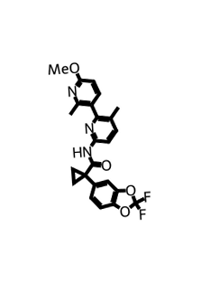 COc1ccc(-c2nc(NC(=O)C3(c4ccc5c(c4)OC(F)(F)O5)CC3)ccc2C)c(C)n1